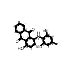 Cc1cc(Br)c(Nc2ccc(O)c3c2C(=O)c2ccccc2C3=O)c(Br)c1